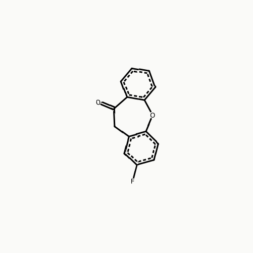 O=C1Cc2cc(F)ccc2Oc2ccccc21